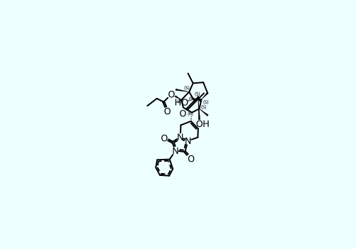 CCC(=O)O[C@@H]1C[C@@H](C2=CCn3c(=O)n(-c4ccccc4)c(=O)n3C2)[C@H](C)[C@@]23CCC(C)[C@]1(C)[C@]2(O)C(=O)[C@@H](O)C3